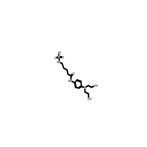 CC(C)S(=O)(=O)NCCCCC(=O)Nc1ccc(N(CCO)CCO)cc1